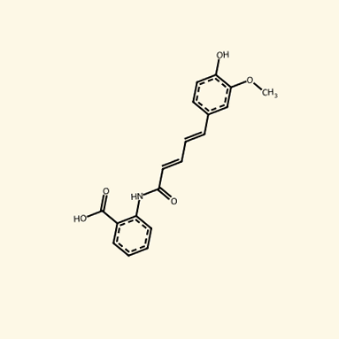 COc1cc(C=CC=CC(=O)Nc2ccccc2C(=O)O)ccc1O